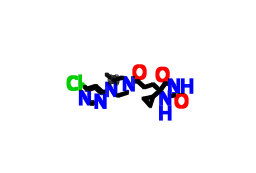 C[C@H]1CN(C(=O)CCC2(C3CC3)NC(=O)NC2=O)CCN1c1cc(Cl)ncn1